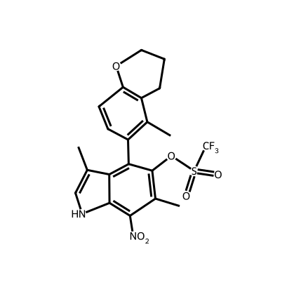 Cc1c(-c2c(OS(=O)(=O)C(F)(F)F)c(C)c([N+](=O)[O-])c3[nH]cc(C)c23)ccc2c1CCCO2